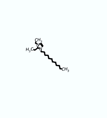 CCCCCCCCCCCCN1C=CN(CC)C1CC